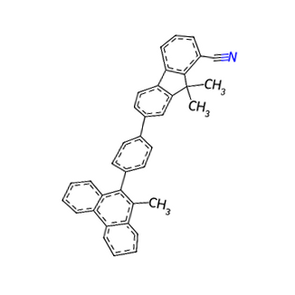 Cc1c(-c2ccc(-c3ccc4c(c3)C(C)(C)c3c(C#N)cccc3-4)cc2)c2ccccc2c2ccccc12